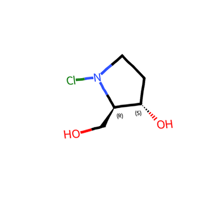 OC[C@@H]1[C@@H](O)CCN1Cl